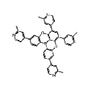 Cc1cc(-c2ccc3c(c2)Oc2c(-c4ccnc(C)c4)cc(-c4ccnc(C)c4)c4c2B3c2ccc(-c3ccnc(C)c3)cc2O4)ccn1